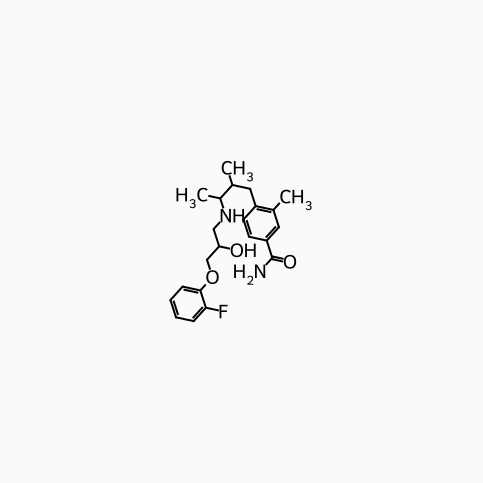 Cc1cc(C(N)=O)ccc1CC(C)C(C)NCC(O)COc1ccccc1F